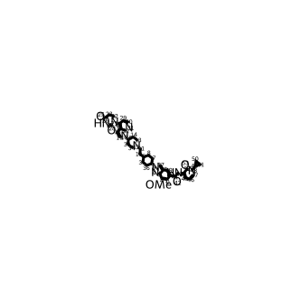 COc1cc2nn(C3CCC(CCN4CCC(n5ccc6c(N7CCC(=O)NC7=O)ccnc65)CC4)CC3)cc2cc1C(=O)Nc1cccn(C2CC2)c1=O